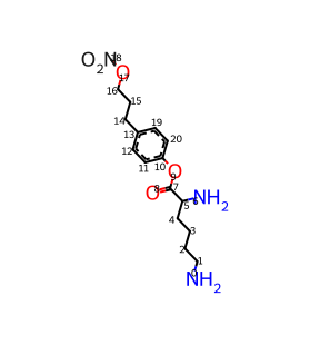 NCCCCC(N)C(=O)Oc1ccc(CCCO[N+](=O)[O-])cc1